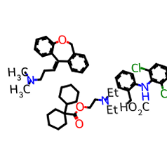 CCN(CC)CCOC(=O)C1(C2CCCCC2)CCCCC1.CN(C)CCC=C1c2ccccc2COc2ccccc21.O=C(O)Cc1ccccc1Nc1c(Cl)cccc1Cl